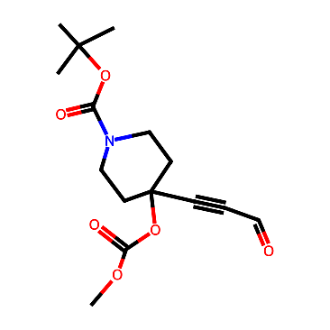 COC(=O)OC1(C#CC=O)CCN(C(=O)OC(C)(C)C)CC1